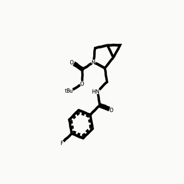 CC(C)(C)OC(=O)N1CC2CC2C1CNC(=O)c1ccc(F)cc1